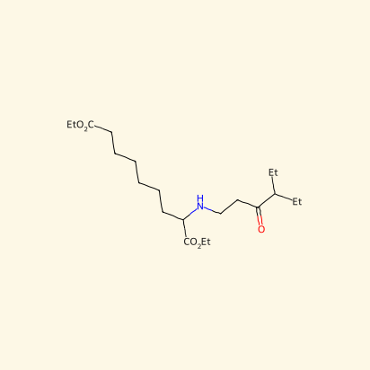 CCOC(=O)CCCCCCC(NCCC(=O)C(CC)CC)C(=O)OCC